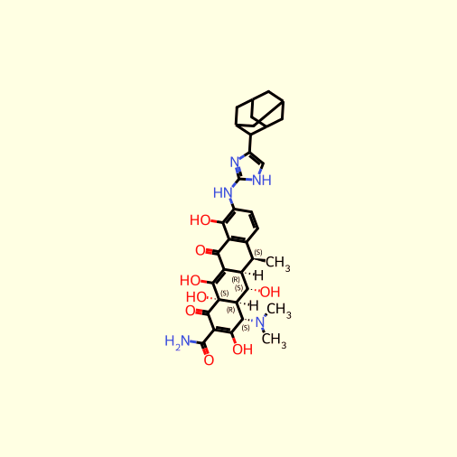 C[C@@H]1c2ccc(Nc3nc(C4C5CC6CC(C5)CC4C6)c[nH]3)c(O)c2C(=O)C2=C(O)[C@]3(O)C(=O)C(C(N)=O)=C(O)[C@@H](N(C)C)[C@@H]3[C@@H](O)[C@@H]21